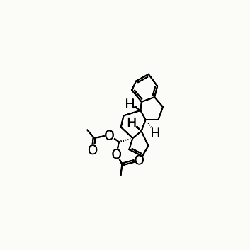 CC(=O)OC(OC(C)=O)[C@@]12C=CC[C@H]1[C@@H]1CCc3ccccc3[C@H]1CC2